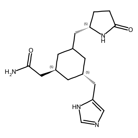 NC(=O)C[C@H]1CC(C[C@@H]2CCC(=O)N2)C[C@H](Cc2cnc[nH]2)C1